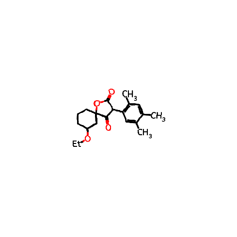 CCOC1CCCC2(C1)OC(=O)C(c1cc(C)c(C)cc1C)C2=O